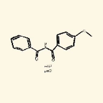 COc1ccc(C(=O)NC(=O)c2ccccc2)cc1.Cl.Cl